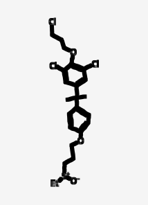 CC[S+]([O-])CCCOc1ccc(C(C)(C)c2cc(Cl)c(OCCCCl)c(Cl)c2)cc1